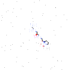 CC(=O)N1CCCC1C(=O)CNCC(=O)CNCCN